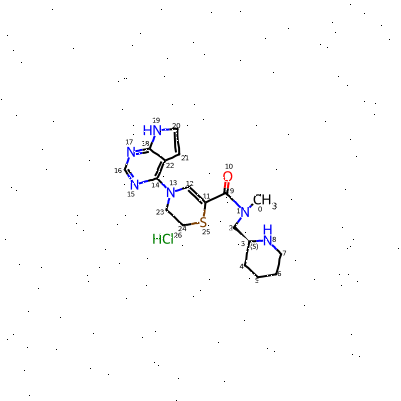 CN(C[C@@H]1CCCCN1)C(=O)C1=CN(c2ncnc3[nH]ccc23)CCS1.Cl